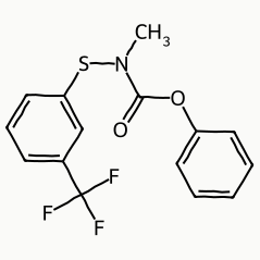 CN(Sc1cccc(C(F)(F)F)c1)C(=O)Oc1ccccc1